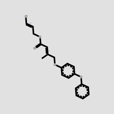 C/C(=C\C(=O)OC/C=C/Cl)COc1ccc(Oc2ccccc2)cc1